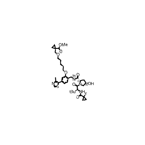 COC(=O)C1(COCCCCCOc2cc(-c3scnc3C)ccc2CNC(=O)[C@@H]2C[C@@H](O)CN2C(=O)[C@@H](NC(=O)C2(F)CC2)C(C)(C)C)CC1